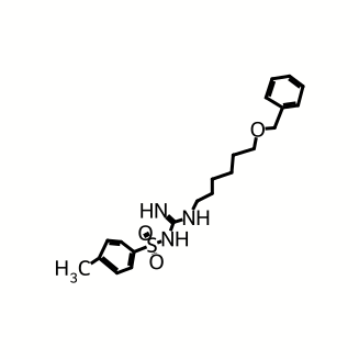 Cc1ccc(S(=O)(=O)NC(=N)NCCCCCCOCc2ccccc2)cc1